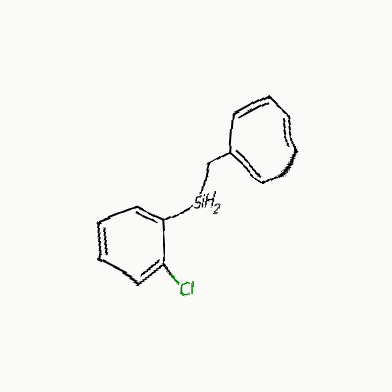 Clc1ccccc1[SiH2]Cc1ccccc1